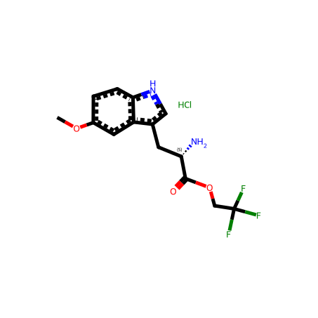 COc1ccc2[nH]cc(C[C@H](N)C(=O)OCC(F)(F)F)c2c1.Cl